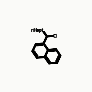 CCCCCCCC(Cl)c1cccc2ccccc12